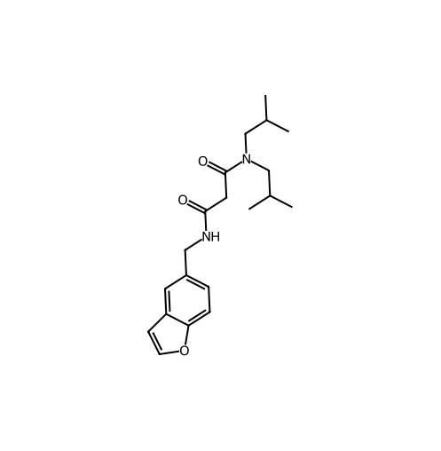 CC(C)CN(CC(C)C)C(=O)CC(=O)NCc1ccc2occc2c1